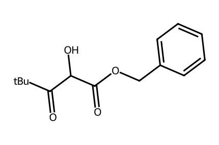 CC(C)(C)C(=O)C(O)C(=O)OCc1ccccc1